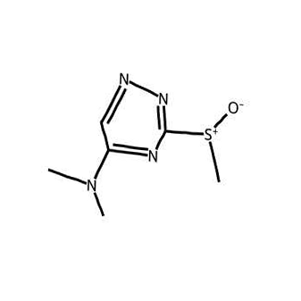 CN(C)c1cnnc([S+](C)[O-])n1